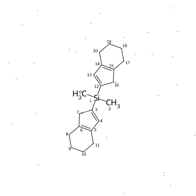 C[Si](C)(C1=CC2=C([CH]1)CCCC2)C1=CC2=C([CH]1)CCCC2